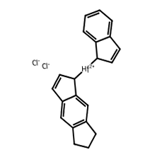 C1=C[CH]([Hf+2][CH]2C=Cc3cc4c(cc32)CCC4)c2ccccc21.[Cl-].[Cl-]